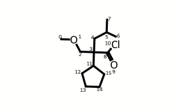 COCC(CC(C)C)(C(=O)Cl)C1CCCC1